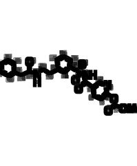 COC(=O)Oc1ccc(C(=O)NS(=O)(=O)c2cccc(CCNC(=O)Cc3ccccc3)c2)cn1